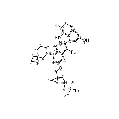 CCc1c(F)ccc2cc(O)cc(-c3ncc4c(N5CCC[C@]6(CCO6)C5)nc(OCC5(CN6CC(F)(F)C6)CC5)nc4c3F)c12